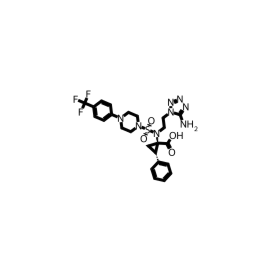 Nc1nnnn1CCN([C@]1(C(=O)O)C[C@H]1c1ccccc1)S(=O)(=O)N1CCN(c2ccc(C(F)(F)F)cc2)CC1